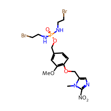 COc1cc(COP(=O)(NCCBr)NCCBr)ccc1OCc1cnc([N+](=O)[O-])n1C